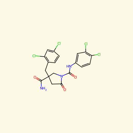 NC(=O)C1(Cc2ccc(Cl)cc2Cl)CC(=O)N(C(=O)Nc2ccc(Cl)c(Cl)c2)C1